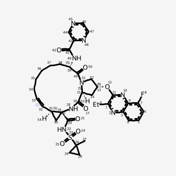 CCc1nc2cccc(F)c2nc1O[C@@H]1C[C@H]2C(=O)N[C@]3(C(=O)NS(=O)(=O)C4(C)CC4)C[C@H]3/C=C\CCCCC[C@H](NC(=O)c3cnccn3)C(=O)N2C1